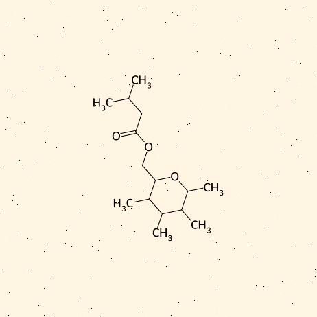 CC(C)CC(=O)OCC1OC(C)C(C)C(C)C1C